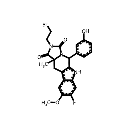 COc1cc2c3c([nH]c2cc1F)C(c1cccc(O)c1)N1C(=O)N(CCBr)C(=O)C1(C)C3